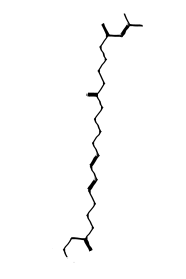 C=C(C=C(C)C)CCCCC(=O)CCCC/C=C/C=C/CCCC(=C)C[C@H](O)CC